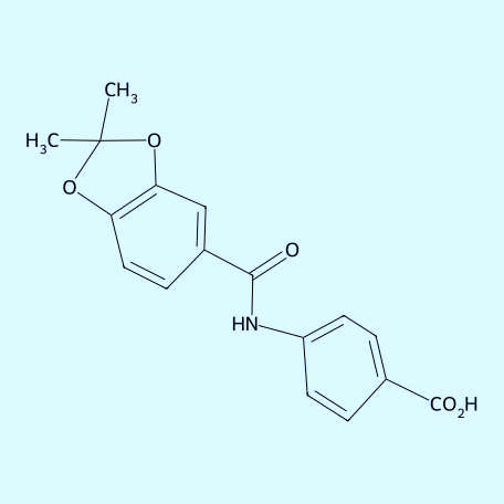 CC1(C)Oc2ccc(C(=O)Nc3ccc(C(=O)O)cc3)cc2O1